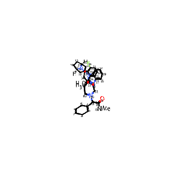 CNC(=O)C(C1CCCCC1)N1CCC(CCN2[C@@H]3CC[C@H]2C[C@@H](n2c(C)nc4ccccc42)C3)(c2cccc(F)c2)CC1